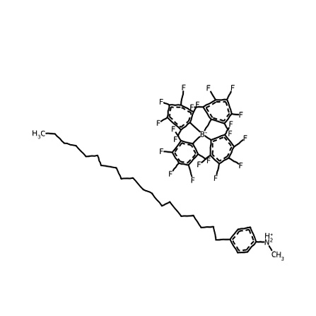 CCCCCCCCCCCCCCCCCCCc1ccc([NH2+]C)cc1.Fc1c(F)c(F)c([B-](c2c(F)c(F)c(F)c(F)c2F)(c2c(F)c(F)c(F)c(F)c2F)c2c(F)c(F)c(F)c(F)c2F)c(F)c1F